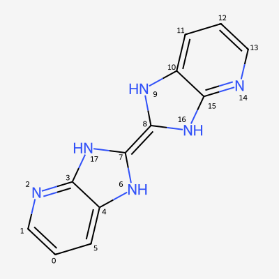 c1cnc2c(c1)N/C(=C1/Nc3cccnc3N1)N2